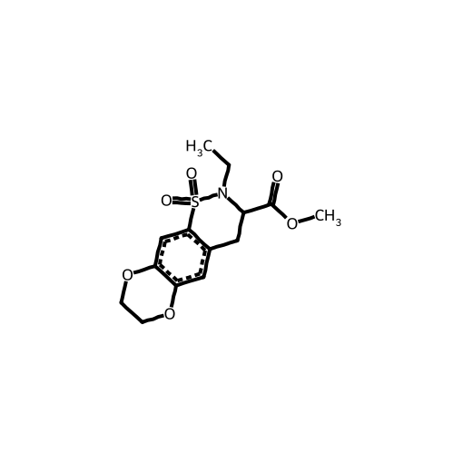 CCN1C(C(=O)OC)Cc2cc3c(cc2S1(=O)=O)OCCO3